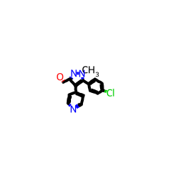 Cn1nc(C=O)c(-c2ccncc2)c1-c1ccc(Cl)cc1